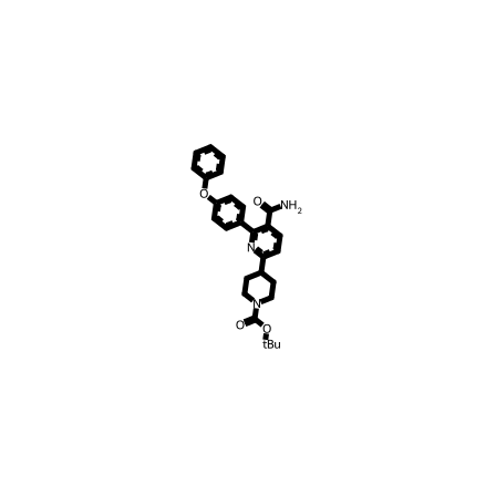 CC(C)(C)OC(=O)N1CCC(c2ccc(C(N)=O)c(-c3ccc(Oc4ccccc4)cc3)n2)CC1